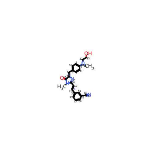 CN1C(=O)/C(=C/c2ccc(N(C)CCO)cc2)N=C1/C=C/c1cccc(C#N)c1